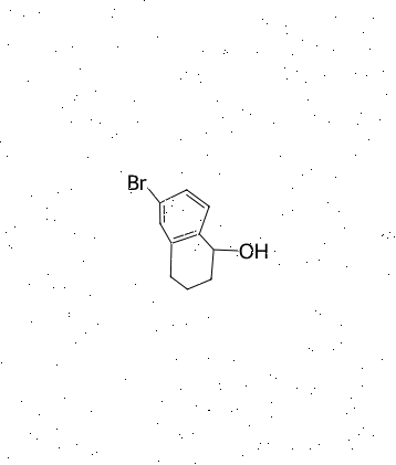 OC1CCCc2cc(Br)ccc21